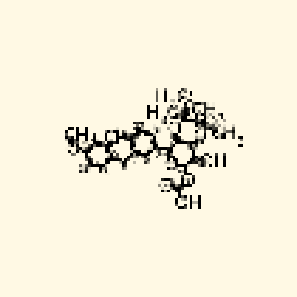 COc1ccc(Cc2cc(C3OC(OC(=O)O)C(O)C4O[C@@](C)(OC)C(C)(OC)OC34)ccc2Cl)cc1